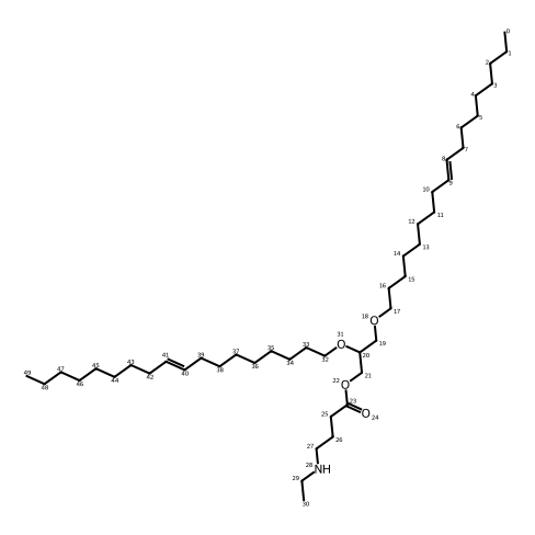 CCCCCCCCC=CCCCCCCCCOCC(COC(=O)CCCNCC)OCCCCCCCCC=CCCCCCCCC